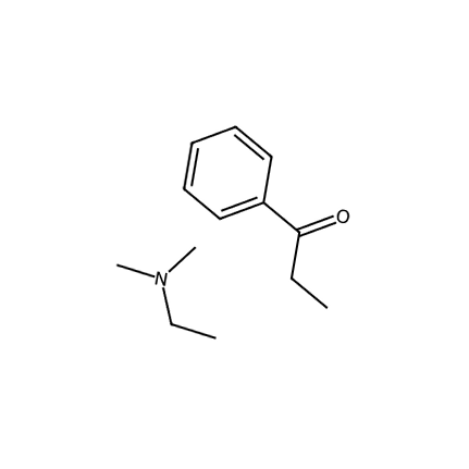 CCC(=O)c1ccccc1.CCN(C)C